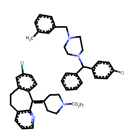 CCOC(=O)N1CCC(=C2c3ccc(Cl)cc3CCc3cccnc32)CC1.Cc1cccc(CN2CCN(C(c3ccccc3)c3ccc(Cl)cc3)CC2)c1